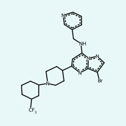 FC(F)(F)C1CCCC(N2CCC(c3cc(NCc4cccnc4)n4ncc(Br)c4n3)CC2)C1